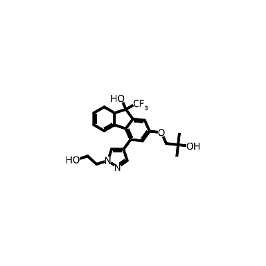 CC(C)(O)COc1cc(-c2cnn(CCO)c2)c2c(c1)C(O)(C(F)(F)F)C1CC=CC=C21